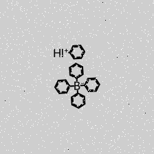 [IH+]c1ccccc1.c1ccc([B-](c2ccccc2)(c2ccccc2)c2ccccc2)cc1